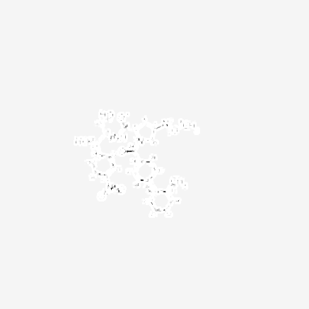 CON=C1C[C@@H](C(=O)N[C@@H](CO)[C@@H](O)c2ccc([N+](=O)[O-])cc2)N(C(=O)c2ccc(-c3ccccc3C)cc2)C1